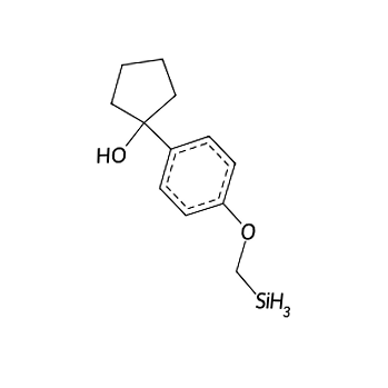 OC1(c2ccc(OC[SiH3])cc2)CCCC1